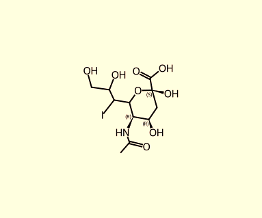 CC(=O)N[C@H]1C(C(I)C(O)CO)O[C@](O)(C(=O)O)C[C@H]1O